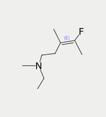 CCN(C)CC/C(C)=C(\C)F